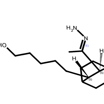 C/C(=N\N)[C@H]1C2CCC(CC2)[C@@H]1CCCCCO